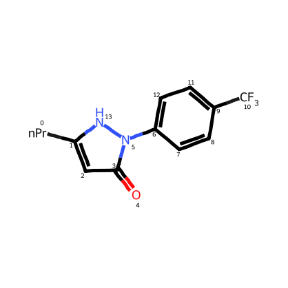 CCCc1cc(=O)n(-c2ccc(C(F)(F)F)cc2)[nH]1